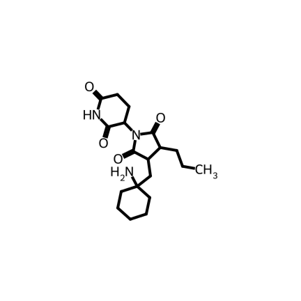 CCCC1C(=O)N(C2CCC(=O)NC2=O)C(=O)C1CC1(N)CCCCC1